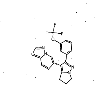 FC(F)(F)Oc1cccc(-c2nn3c(c2-c2ccc4ncnn4c2)CCC3)c1